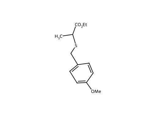 CCOC(=O)C(C)SCc1ccc(OC)cc1